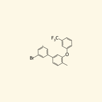 Cc1ccc(-c2c[c]cc(Br)c2)cc1Oc1cccc(C(F)(F)F)c1